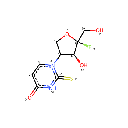 O=c1ccn(C2CO[C@](F)(CO)[C@H]2O)c(=S)[nH]1